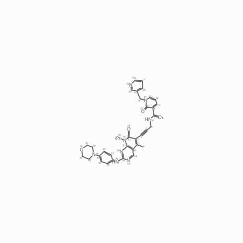 Cc1c(C#CCNC(=O)c2cccn(Cc3cccnc3)c2=O)c(=O)n(C(C)C)c2nc(Nc3ccc(N4CCOCC4)cc3)ncc12